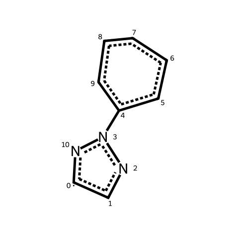 [c]1cnn(-c2ccccc2)n1